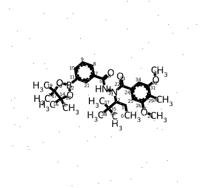 CCC(N(NC(=O)c1cccc(B2OC(C)(C)C(C)(C)O2)c1)C(=O)c1cc(OC)c(C)c(OC)c1)C(C)(C)C